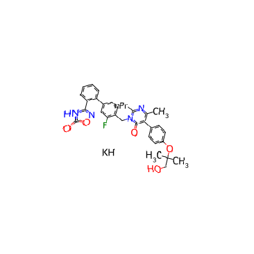 CCCc1nc(C)c(-c2ccc(OC(C)(C)CO)cc2)c(=O)n1Cc1ccc(-c2ccccc2-c2noc(=O)[nH]2)cc1F.[KH]